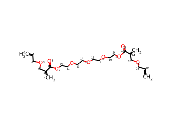 C=CCOCC(=C)C(=O)OCCOCCOCCOCCOC(=O)C(=C)COCC=C